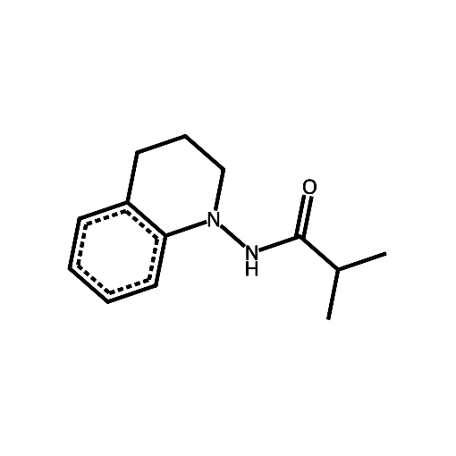 CC(C)C(=O)NN1CCCc2ccccc21